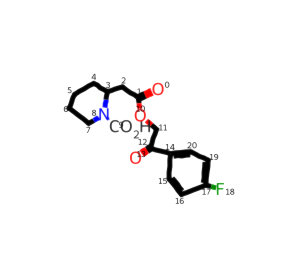 O=C(CC1CCCCN1C(=O)O)OCC(=O)c1ccc(F)cc1